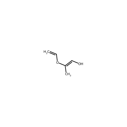 C=COC(C)=CO